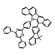 CC1(C)c2ccccc2-c2ccc(-c3c4ccccc4cc4c5ccc6ccccc6c5n(-c5ccc(-c6nc(-c7ccccc7)nc(-c7ccccc7)n6)cc5)c34)cc21